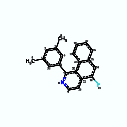 Cc1cc(C)cc(-c2nccc3c(F)cc4ccccc4c23)c1